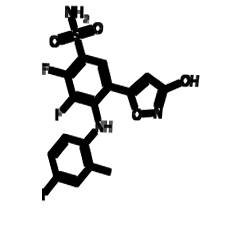 Cc1cc(I)ccc1Nc1c(-c2cc(O)no2)cc(S(N)(=O)=O)c(F)c1F